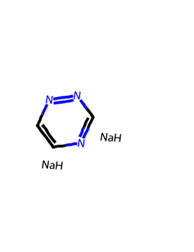 [NaH].[NaH].c1cnncn1